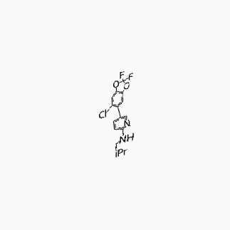 CC(C)CNc1ccc(-c2cc3c(cc2Cl)OC(F)(F)O3)cn1